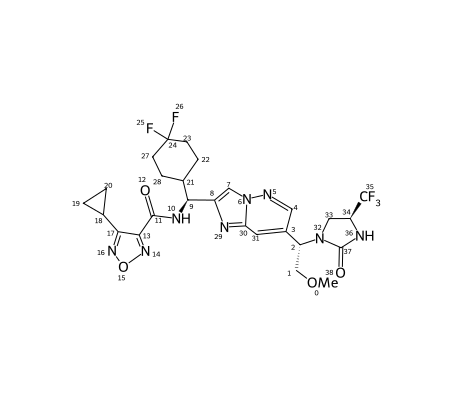 COC[C@H](c1cnn2cc([C@@H](NC(=O)c3nonc3C3CC3)C3CCC(F)(F)CC3)nc2c1)N1C[C@@H](C(F)(F)F)NC1=O